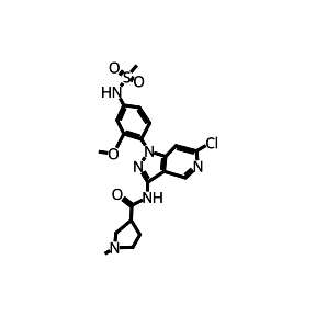 COc1cc(NS(C)(=O)=O)ccc1-n1nc(NC(=O)C2CCN(C)C2)c2cnc(Cl)cc21